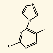 Cc1cnc(Cl)nc1-n1ccnc1